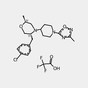 Cc1noc(N2CCC(N3C[C@H](C)OC[C@@H]3Cc3ccc(Cl)cc3)CC2)n1.O=C(O)C(F)(F)F